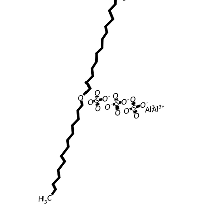 CCCCCCCCCCCCCCOCCCCCCCCCCCCCC.O=S(=O)([O-])[O-].O=S(=O)([O-])[O-].O=S(=O)([O-])[O-].[Al+3].[Al+3]